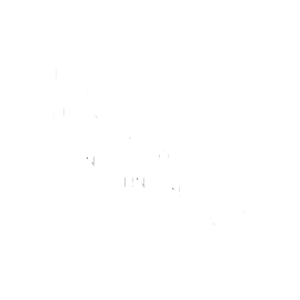 N#C/C(=C\c1ccc(O)c(Cl)c1)C(=O)Nc1nc(-c2ccccc2)cs1